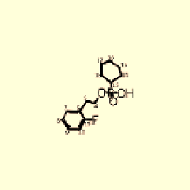 O=P(O)(OCCc1ccccc1F)C1CCCCC1